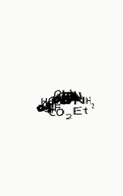 CCOC(=O)[C@H](C)NP(=O)(OC[C@H]1O[C@@](C#N)(c2ccc3c(N)ncnn23)[C@H](O)[C@@]1(C)O)Oc1ccccc1